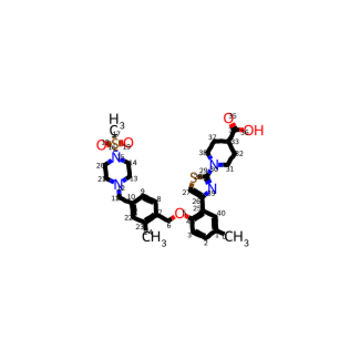 Cc1ccc(OCc2ccc(CN3CCN(S(C)(=O)=O)CC3)cc2C)c(-c2csc(N3CCC(C(=O)O)CC3)n2)c1